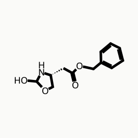 O=C(C[C@@H]1COC(O)N1)OCc1ccccc1